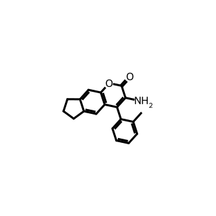 Cc1ccccc1-c1c(N)c(=O)oc2cc3c(cc12)CCC3